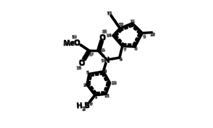 Bc1ccc(N(Cc2cc(C)cc(C)c2)C(=O)C(=O)OC)cc1